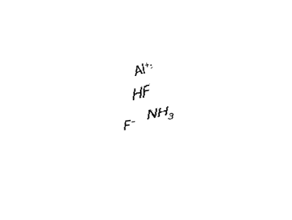 F.N.[Al+].[F-]